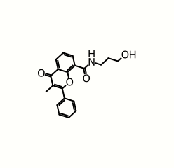 Cc1c(-c2ccccc2)oc2c(C(=O)NCCCO)cccc2c1=O